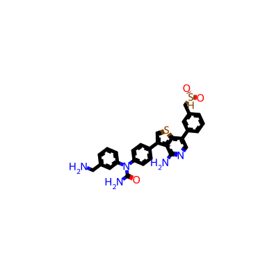 NCc1cccc(N(C(N)=O)c2ccc(-c3csc4c(-c5cccc(C[SH](=O)=O)c5)cnc(N)c34)cc2)c1